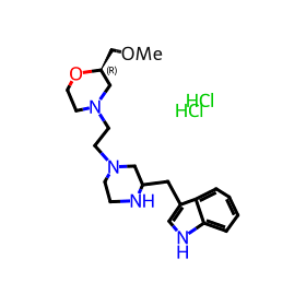 COC[C@H]1CN(CCN2CCNC(Cc3c[nH]c4ccccc34)C2)CCO1.Cl.Cl